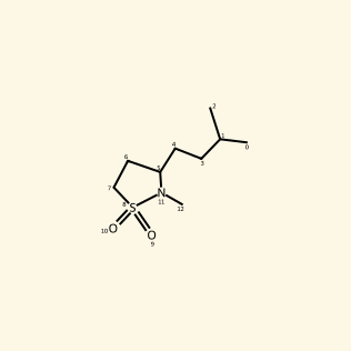 CC(C)CCC1CCS(=O)(=O)N1C